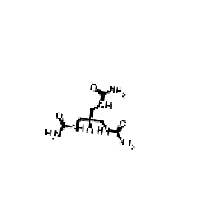 NC(=O)NCP(=O)(CNC(N)=O)CNC(N)=O